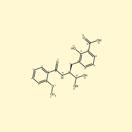 COc1ccccc1C(=O)N[C@@H](Cc1cccc(C(=O)O)c1O)B(O)O